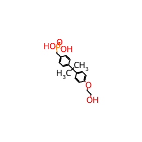 CC(C)(c1ccc(CP(=O)(O)O)cc1)c1ccc(OCCO)cc1